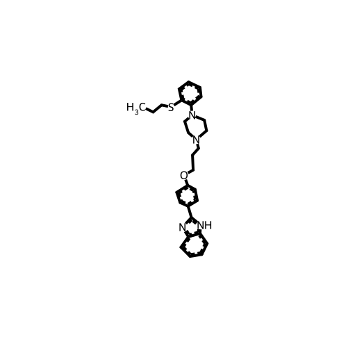 CCCSc1ccccc1N1CCN(CCCOc2ccc(-c3nc4ccccc4[nH]3)cc2)CC1